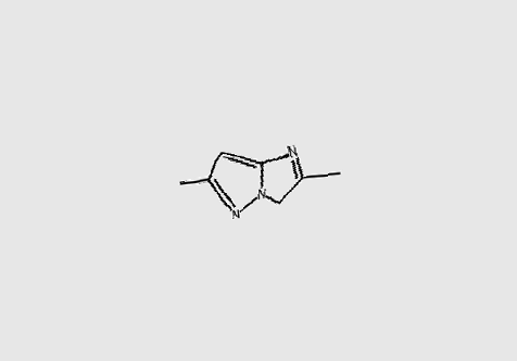 CC1=Nc2cc(C)nn2C1